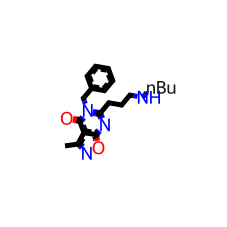 CCCCNCCCc1nc2onc(C)c2c(=O)n1Cc1ccccc1